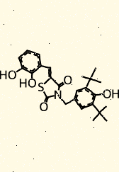 CC(C)(C)c1cc(CN2C(=O)S/C(=C\c3cccc(O)c3O)C2=O)cc(C(C)(C)C)c1O